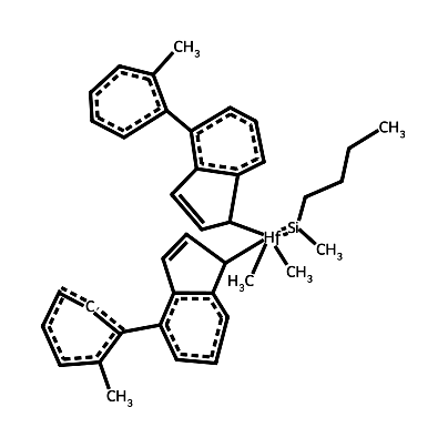 CCCC[Si](C)=[Hf]([CH3])([CH3])([CH]1C=Cc2c(-c3ccccc3C)cccc21)[CH]1C=Cc2c(-c3ccccc3C)cccc21